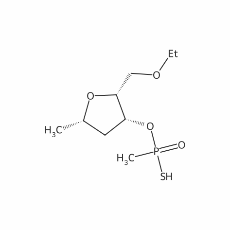 CCOC[C@H]1O[C@@H](C)C[C@H]1OP(C)(=O)S